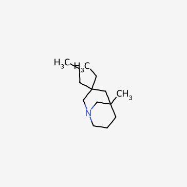 CCCC1(CC)CN2CCCC(C)(C2)C1